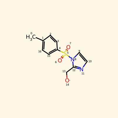 Cc1ccc(S(=O)(=O)n2ccnc2C[O])cc1